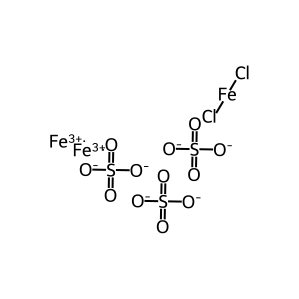 O=S(=O)([O-])[O-].O=S(=O)([O-])[O-].O=S(=O)([O-])[O-].[Cl][Fe][Cl].[Fe+3].[Fe+3]